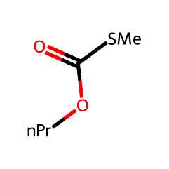 [CH2]SC(=O)OCCC